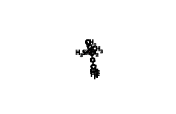 CC[C@@H]1CC[C@@](C)(C2CCC(c3ccc(-c4ccc(C(F)(F)C(F)C(F)(F)F)cc4)cc3)CC2)[C@H]([SiH2][SiH3])C1